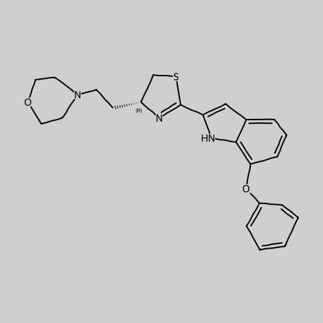 c1ccc(Oc2cccc3cc(C4=N[C@H](CCN5CCOCC5)CS4)[nH]c23)cc1